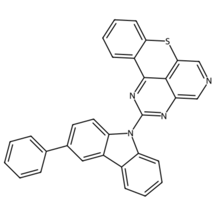 c1ccc(-c2ccc3c(c2)c2ccccc2n3-c2nc3c4c(cncc4n2)Sc2ccccc2-3)cc1